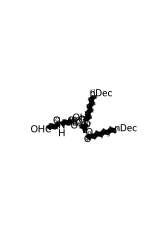 CCCCCCCCCCCCCCCCCC(=O)OCC(COP(=O)(O)OCCNC(=O)CCC=O)OC(=O)CCCCCCCCCCCCCCCCC